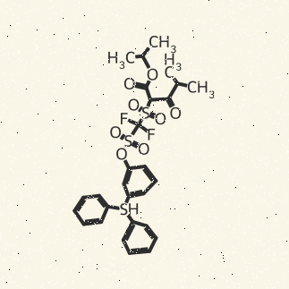 CC(C)OC(=O)C(C(=O)C(C)C)S(=O)(=O)C(F)(F)S(=O)(=O)Oc1cccc([SH](c2ccccc2)c2ccccc2)c1